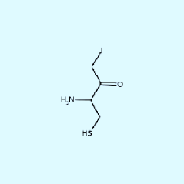 NC(CS)C(=O)CI